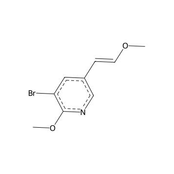 COC=Cc1cnc(OC)c(Br)c1